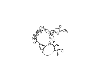 CO[C@@]1(CN2CCN(C)C(=O)C2)C2=C[C@@H](C2)[C@H](C)[C@@H](C)S(=O)(=O)NC(=O)c2ccc3c(c2)N(Cc2ccc(Cl)c(F)c2CCCCO3)C[C@@H]2CC[C@H]21